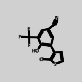 N#Cc1cc(-c2ccsc2Cl)c(O)c(C(F)(F)F)c1